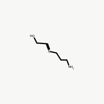 NCCCN=CCO